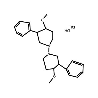 COC1CCN(N2CCC(OC)C(c3ccccc3)C2)CC1c1ccccc1.Cl.Cl